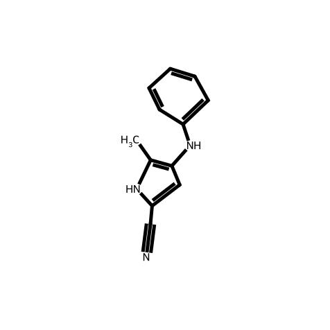 Cc1[nH]c(C#N)cc1Nc1ccccc1